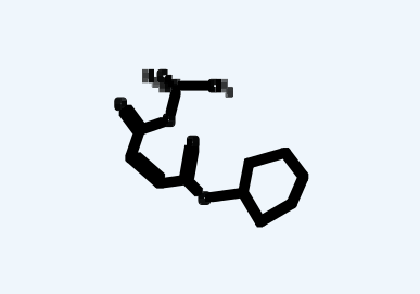 C[SiH](C)OC(=O)/C=C\C(=O)OC1CCCCC1